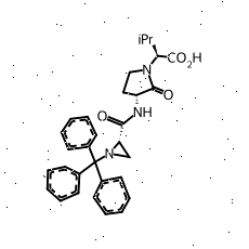 CC(C)[C@@H](C(=O)O)N1CC[C@@H](NC(=O)[C@@H]2CN2C(c2ccccc2)(c2ccccc2)c2ccccc2)C1=O